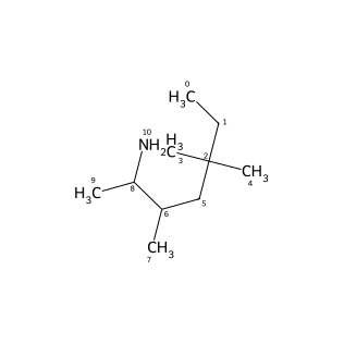 CCC(C)(C)CC(C)C(C)N